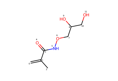 C=C(C)C(=O)NOCC(O)CO